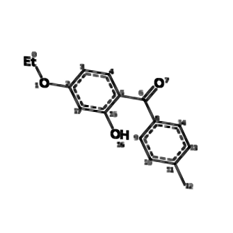 CCOc1ccc(C(=O)c2ccc(C)cc2)c(O)c1